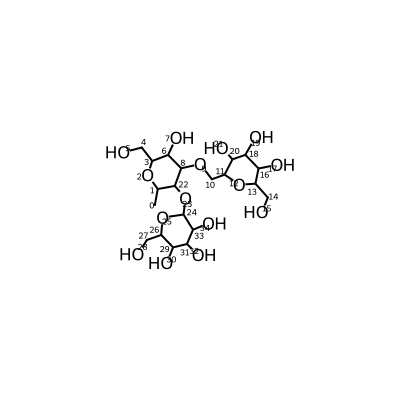 CC1OC(CO)C(O)C(OCC2OC(CO)C(O)C(O)C2O)C1OC1OC(CO)C(O)C(O)C1O